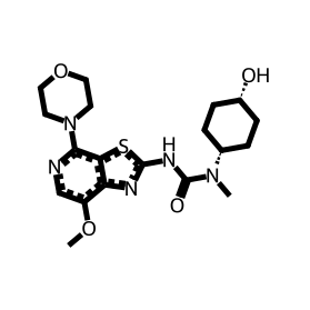 COc1cnc(N2CCOCC2)c2sc(NC(=O)N(C)[C@H]3CC[C@@H](O)CC3)nc12